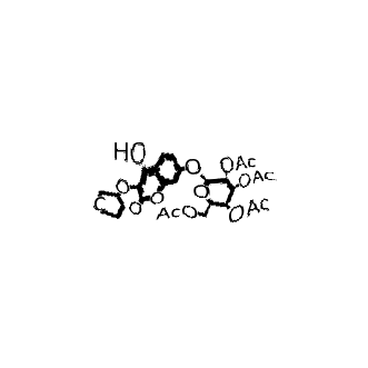 CC(=O)OC[C@H]1O[C@@H](Oc2ccc3c(O)c(OC4CCCCC4)c(=O)oc3c2)[C@H](OC(C)=O)[C@@H](OC(C)=O)[C@H]1OC(C)=O